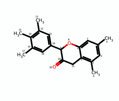 Cc1cc(C)c2c(c1)OC(c1cc(C)c(C)c(C)c1)C(=O)C2